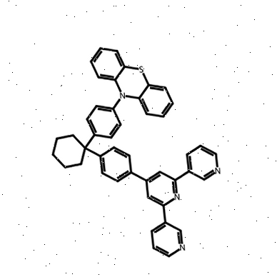 c1cncc(-c2cc(-c3ccc(C4(c5ccc(N6c7ccccc7Sc7ccccc76)cc5)CCCCC4)cc3)cc(-c3cccnc3)n2)c1